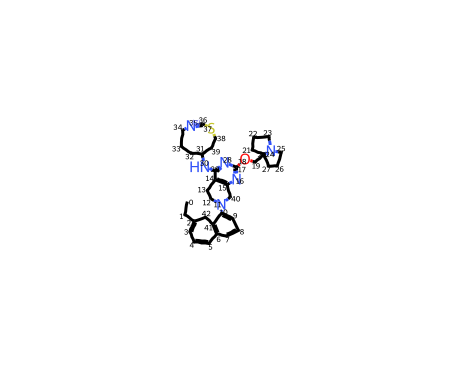 CCC1=CC=Cc2cccc(N3CCc4c(nc(OCC56CCCN5CCC6)nc4NC4CCC/N=C\SCC4)C3)c2C1